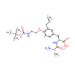 C=CCc1cc(C[C@H](NC(=O)[C@H](C)N)C(=O)O)ccc1OCCNC(=O)OC(C)(C)C